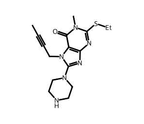 CC#CCn1c(N2CCNCC2)nc2nc(SCC)n(C)c(=O)c21